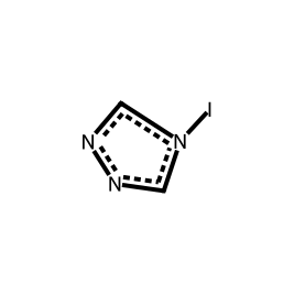 In1cnnc1